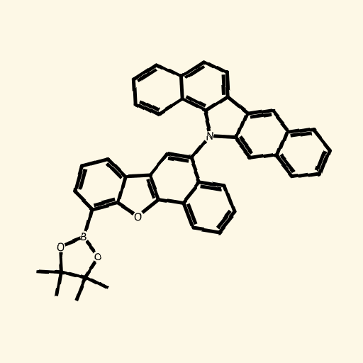 CC1(C)OB(c2cccc3c2oc2c4ccccc4c(-n4c5cc6ccccc6cc5c5ccc6ccccc6c54)cc32)OC1(C)C